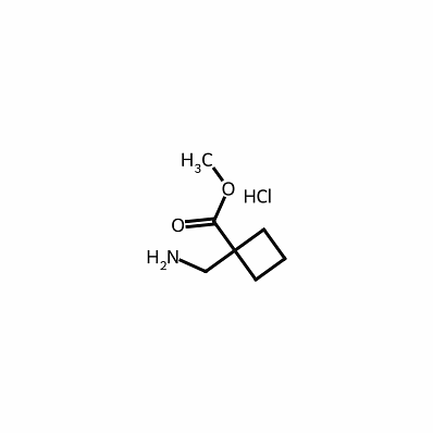 COC(=O)C1(CN)CCC1.Cl